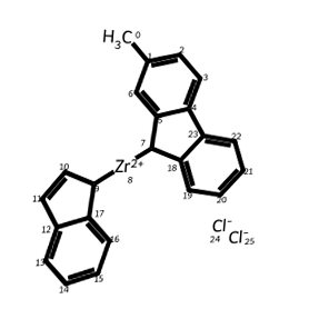 Cc1ccc2c(c1)[CH]([Zr+2][CH]1C=Cc3ccccc31)c1ccccc1-2.[Cl-].[Cl-]